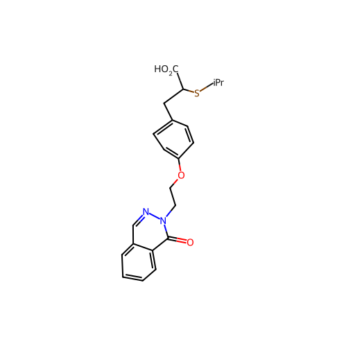 CC(C)SC(Cc1ccc(OCCn2ncc3ccccc3c2=O)cc1)C(=O)O